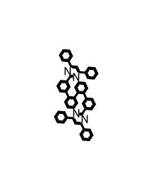 c1ccc(-c2cc(-c3ccccc3)nc(-c3cccc(-c4ccccc4-c4ccccc4-c4cccc(-c5nc(-c6ccccc6)cc(-c6ccccc6)n5)c4)c3)n2)cc1